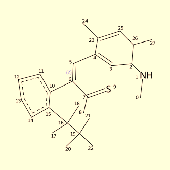 CNC1C=C(/C=C(\C(C)=S)c2ccccc2C(C)(C)C(C)(C)C)C(C)=CC1C